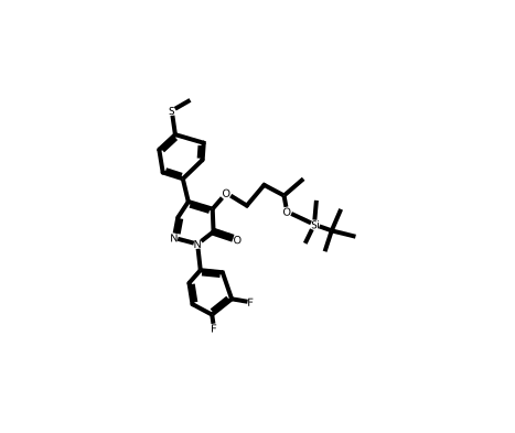 CSc1ccc(-c2cnn(-c3ccc(F)c(F)c3)c(=O)c2OCCC(C)O[Si](C)(C)C(C)(C)C)cc1